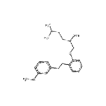 COC(CCN(C)C)COc1ccccc1CCc1cccc(OC(F)(F)F)c1